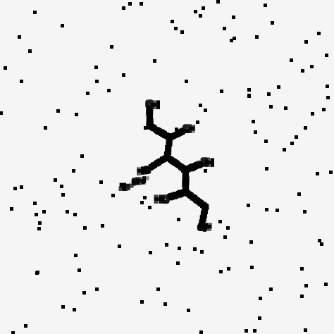 OCC(O)C(O)C(O)C(O)CO.[Na+].[OH-]